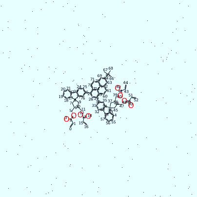 C=CC(=O)OCCCC1(CCCOC(=O)C=C)c2ccccc2-c2ccc(-c3cc(-c4ccc5c(c4)C(CCCOC(=O)C=C)(CCCOC(=O)C=C)c4ccccc4-5)c4ccc5cc(C(C)(C)C)cc6ccc3c4c65)cc21